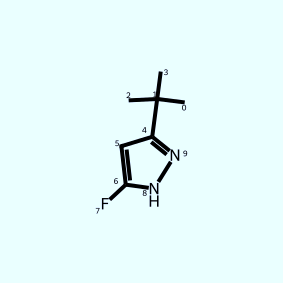 CC(C)(C)c1cc(F)[nH]n1